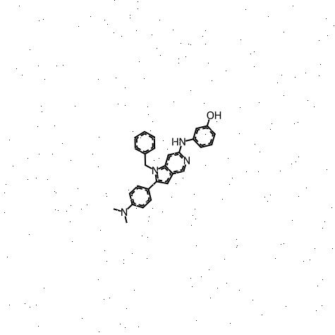 CN(C)c1ccc(-c2cc3cnc(Nc4cccc(O)c4)cc3n2Cc2ccccc2)cc1